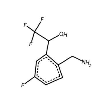 NCc1ccc(F)cc1C(O)C(F)(F)F